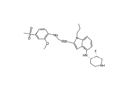 CCCn1c(C#CCNc2ccc(S(C)(=O)=O)cc2OC)cc2c(N[C@H]3CCNC[C@H]3F)cccc21